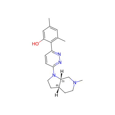 Cc1cc(C)c(-c2ccc(N3CC[C@H]4CCN(C)C[C@H]43)nn2)c(O)c1